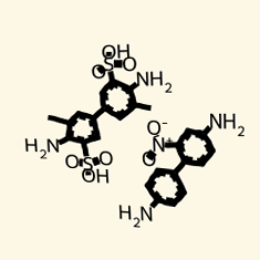 Cc1cc(-c2cc(C)c(N)c(S(=O)(=O)O)c2)cc(S(=O)(=O)O)c1N.Nc1ccc(-c2ccc(N)cc2[N+](=O)[O-])cc1